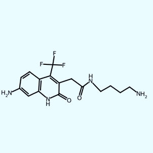 NCCCCNC(=O)Cc1c(C(F)(F)F)c2ccc(N)cc2[nH]c1=O